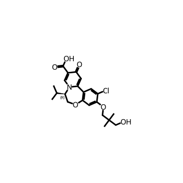 CC(C)[C@@H]1COc2cc(OCC(C)(C)CO)c(Cl)cc2-c2cc(=O)c(C(=O)O)cn21